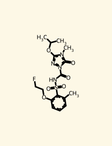 Cc1cccc(OCCF)c1S(=O)(=O)NC(=O)n1nc(OC(C)C)n(C)c1=O